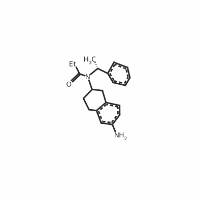 CCC(=O)N(C1CCc2cc(N)ccc2C1)[C@H](C)c1ccccc1